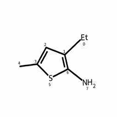 [CH2]Cc1cc(C)sc1N